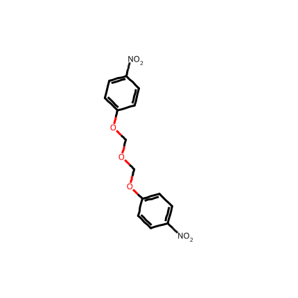 O=[N+]([O-])c1ccc(OCOCOc2ccc([N+](=O)[O-])cc2)cc1